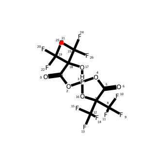 O=C1O[PH]2(OC(=O)C(C(F)(F)F)(C(F)(F)F)O2)OC1(C(F)(F)F)C(F)(F)F